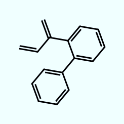 C=CC(=C)c1ccccc1-c1ccccc1